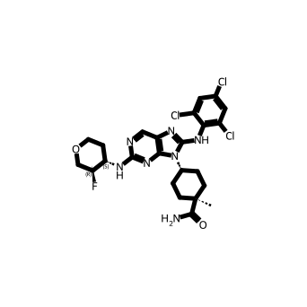 C[C@]1(C(N)=O)CC[C@H](n2c(Nc3c(Cl)cc(Cl)cc3Cl)nc3cnc(N[C@H]4CCOC[C@@H]4F)nc32)CC1